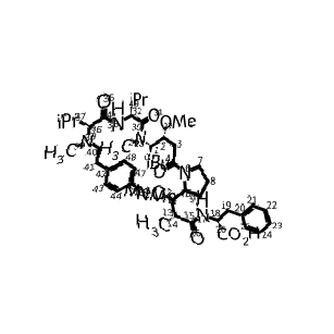 CC[C@H](C)[C@@H]([C@@H](CC(=O)N1CCCC1[C@H](OC)[C@@H](C)C(=O)N[C@@H](Cc1ccccc1)C(=O)O)OC)N(C)C(=O)[C@@H](NC(=O)[C@H](C(C)C)N(C)CCc1ccc(NC)cc1)C(C)C